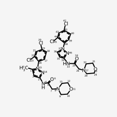 Cc1cc(NC(=O)CN2CCOCC2)nn1-c1ccc(Cl)cc1Cl.O=C(CN1CCOCC1)Nc1ccn(-c2ccc(Cl)cc2Cl)n1